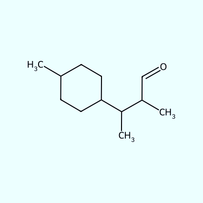 CC1CCC(C(C)C(C)C=O)CC1